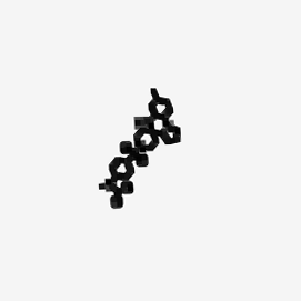 Cc1ccc2c(c1)NC1(CCN(S(=O)(=O)c3ccc4c(c3)oc(=O)n4C)CC1)c1cccn1-2